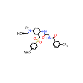 C#CCN(C(C)C)C1CCC(NC(=O)CNC(=O)c2cccc(C(F)(F)F)c2)C(CS(=O)(=O)c2ccc(SC)cc2)C1